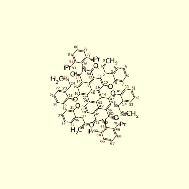 C=CCc1ccccc1OC1=CC2=C3C(=CC(Oc4ccccc4CC=C)=C4c5c(Oc6ccccc6CC=C)cc6c7c5C(=C1C34)C(Oc1ccccc1CC=C)C=C7C(=O)N(c1c(C(C)C)cccc1C(C)C)C6=O)C(=O)N(c1c(C(C)C)cccc1C(C)C)C2=O